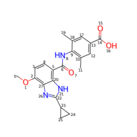 COc1ccc(C(=O)Nc2c(C)cc(C(=O)O)cc2C)c2[nH]c(C3CC3)nc12